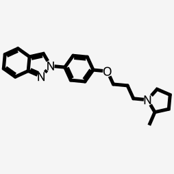 CC1CCCN1CCCOc1ccc(-n2cc3ccccc3n2)cc1